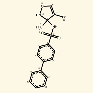 CC1(NS(=O)(=O)c2ccc(-c3ccccc3)cc2)NOC=C1Br